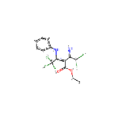 CCOC(=O)/C(C(=N)C(F)F)=C(/Nc1ccccc1)C(F)(F)Cl